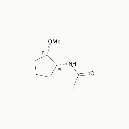 CO[C@H]1CCC[C@H]1NC(=O)I